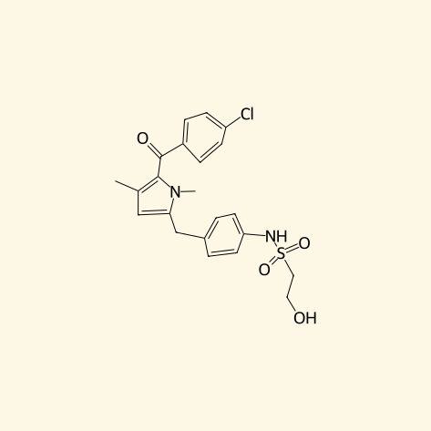 Cc1cc(Cc2ccc(NS(=O)(=O)CCO)cc2)n(C)c1C(=O)c1ccc(Cl)cc1